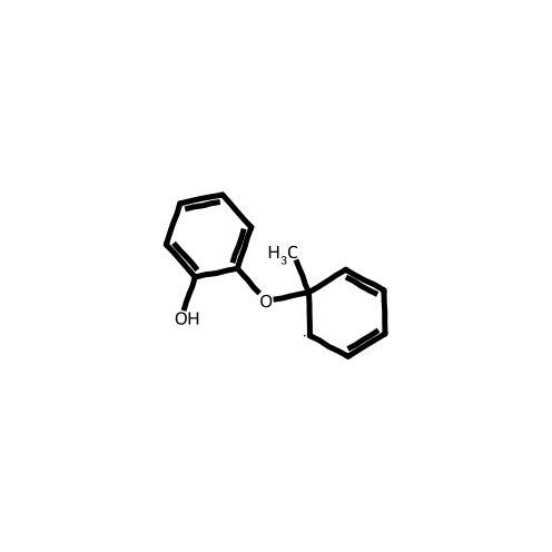 CC1(Oc2ccccc2O)[CH]C=CC=C1